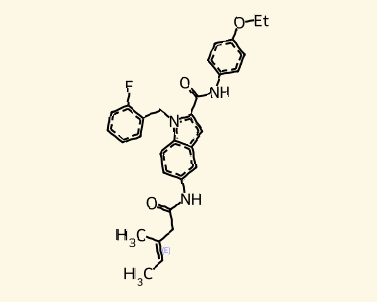 C/C=C(\C)CC(=O)Nc1ccc2c(c1)cc(C(=O)Nc1ccc(OCC)cc1)n2Cc1ccccc1F